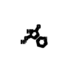 F.O=C1C=CC(=O)N1.c1ccncc1